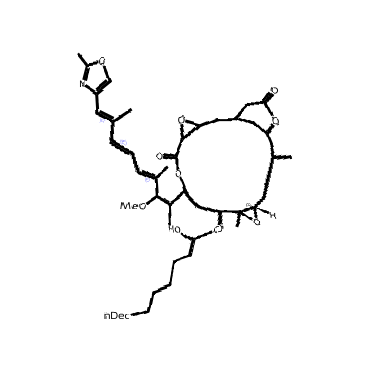 CCCCCCCCCCCCCCCC(O)OC1CC(C(C)C(OC)/C(C)=C/C=C/C(C)=C/c2coc(C)n2)OC(=O)C2OC2CC2CC(=O)OC(C2)C(C)CC[C@@H]2OC12C